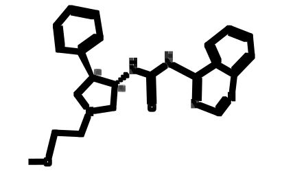 COCCN1C[C@@H](NC(=O)Nc2ncnc3ccccc23)[C@H](c2ccccc2)C1